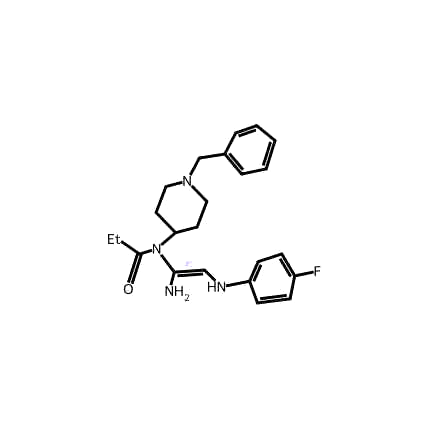 CCC(=O)N(/C(N)=C/Nc1ccc(F)cc1)C1CCN(Cc2ccccc2)CC1